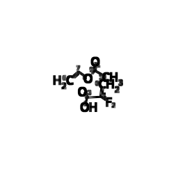 C=C(F)C(=O)O.C=COC(C)=O